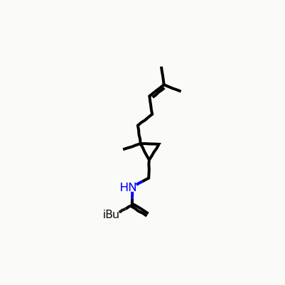 C=C(NCC1CC1(C)CCC=C(C)C)C(C)CC